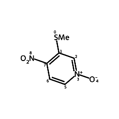 CSc1c[n+]([O-])ccc1[N+](=O)[O-]